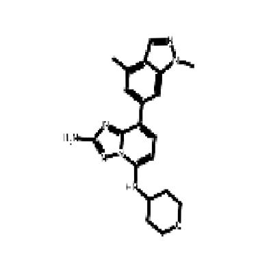 Cc1cc(-c2ccc(NC3CCOCC3)n3nc(N)nc23)cc2c1cnn2C